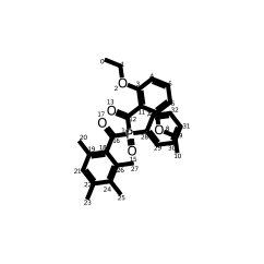 CCOc1cccc(OCC)c1C(=O)P(=O)(C(=O)c1c(C)cc(C)c(C)c1C)c1ccccc1